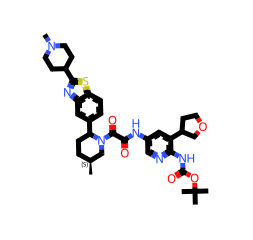 C[C@H]1CCC(c2ccc3sc(C4CCN(C)CC4)nc3c2)N(C(=O)C(=O)Nc2cnc(NC(=O)OC(C)(C)C)c(C3CCOC3)c2)C1